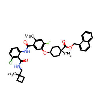 COc1cc(F)c(O[C@H]2CC[C@@](C)(C(=O)OCc3cccc4ccccc34)CC2)cc1C(=O)Nc1cccc(Cl)c1C(=O)NCC1(C)CCC1